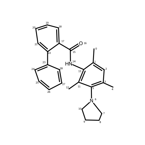 Cc1cc(C)c(N2CCCC2)c(C)c1NC(=O)c1ccccc1-c1ccccc1